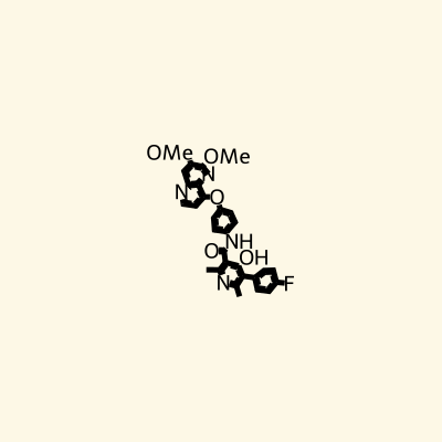 COc1cc2nccc(Oc3ccc(NC(=O)c4c(C)nc(C)c(-c5ccc(F)cc5)c4O)cc3)c2nc1OC